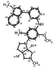 COc1cc(N2CC[C@@H]3CN(C)C[C@@H]32)c(N)cc1Nc1nccc(-c2cn(C)c3ccccc23)n1